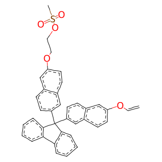 C=COc1ccc2cc(C3(c4ccc5cc(OCCOS(C)(=O)=O)ccc5c4)c4ccccc4-c4ccccc43)ccc2c1